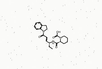 CC[C@@H](/C=C/C(=O)N1CCc2ccccc21)NC(=O)[C@@H]1CCCCN1C(=O)O